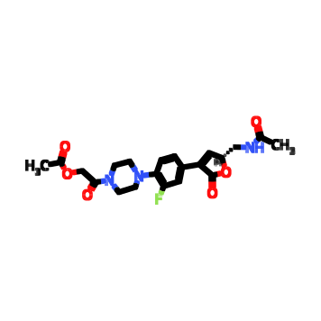 CC(=O)NC[C@H]1C=C(c2ccc(N3CCN(C(=O)COC(C)=O)CC3)c(F)c2)C(=O)O1